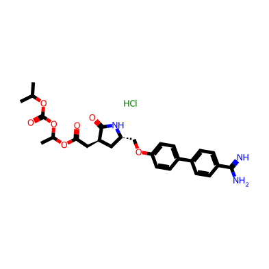 CC(C)OC(=O)OC(C)OC(=O)C[C@@H]1C[C@@H](COc2ccc(-c3ccc(C(=N)N)cc3)cc2)NC1=O.Cl